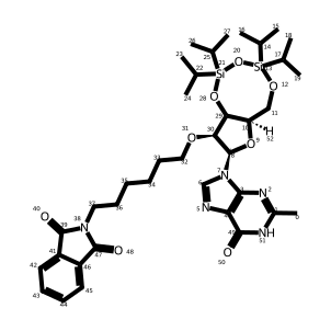 Cc1nc2c(ncn2[C@@H]2O[C@@H]3CO[Si](C(C)C)(C(C)C)O[Si](C(C)C)(C(C)C)OC3[C@@H]2OCCCCCCN2C(=O)c3ccccc3C2=O)c(=O)[nH]1